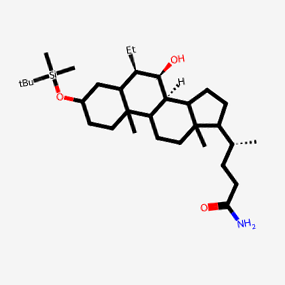 CC[C@@H]1C2CC(O[Si](C)(C)C(C)(C)C)CCC2(C)C2CCC3(C)C(CCC3[C@H](C)CCC(N)=O)[C@@H]2[C@@H]1O